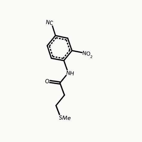 CSCCC(=O)Nc1ccc(C#N)cc1[N+](=O)[O-]